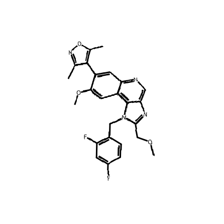 COCc1nc2cnc3cc(-c4c(C)noc4C)c(OC)cc3c2n1Cc1ccc(F)cc1F